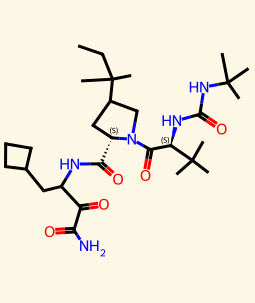 CCC(C)(C)C1C[C@@H](C(=O)NC(CC2CCC2)C(=O)C(N)=O)N(C(=O)[C@@H](NC(=O)NC(C)(C)C)C(C)(C)C)C1